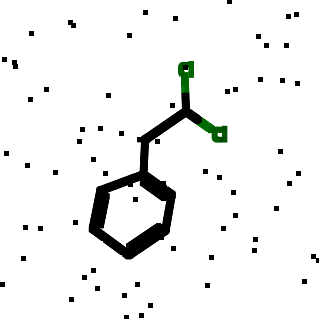 ClC(Cl)[CH]c1ccccc1